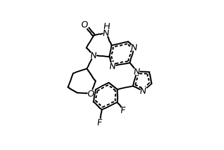 O=C1CN(C2CCCOC2)c2nc(-n3ccnc3-c3cccc(F)c3F)ncc2N1